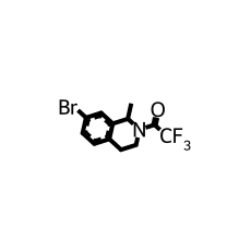 CC1c2cc(Br)ccc2CCN1C(=O)C(F)(F)F